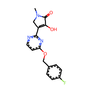 CN1CC(c2nccc(OCc3ccc(F)cc3)n2)=C(O)C1=O